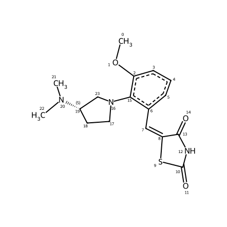 COc1cccc(C=C2SC(=O)NC2=O)c1N1CC[C@H](N(C)C)C1